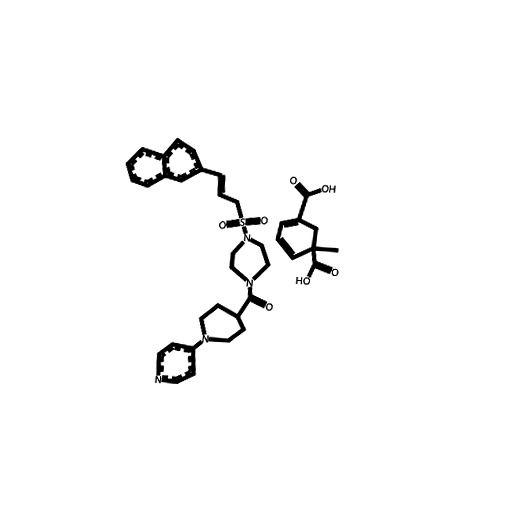 CC1(C(=O)O)C=CC=C(C(=O)O)C1.O=C(C1CCN(c2ccncc2)CC1)N1CCN(S(=O)(=O)CC=Cc2ccc3ccccc3c2)CC1